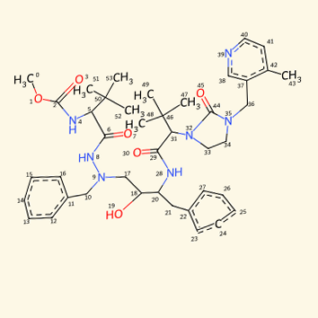 COC(=O)NC(C(=O)NN(Cc1ccccc1)CC(O)C(Cc1ccccc1)NC(=O)C(N1CCN(Cc2cnccc2C)C1=O)C(C)(C)C)C(C)(C)C